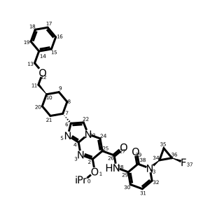 CC(C)Oc1nc2nc([C@H]3CC[C@H](COCc4ccccc4)CC3)cn2cc1C(=O)Nc1cccn([C@H]2C[C@H]2F)c1=O